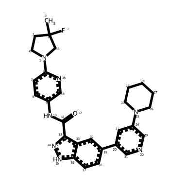 CC1(F)CCN(c2ccc(NC(=O)c3n[nH]c4ccc(-c5cncc(N6CCCCC6)c5)cc34)cn2)C1